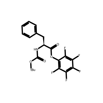 CC(C)(C)OC(=O)N[C@@H](Cc1ccccc1)C(=O)Oc1c(F)c(F)c(F)c(F)c1F